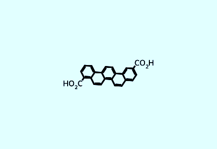 O=C(O)c1ccc2ccc3c(ccc4c5cccc(C(=O)O)c5ccc43)c2c1